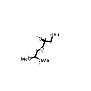 COC(COC(=O)CC(C)(C)C)OC